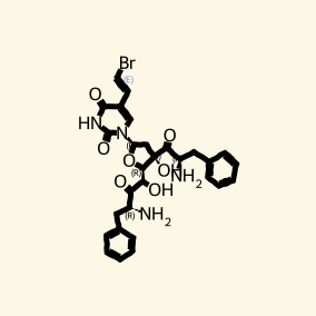 N[C@H](Cc1ccccc1)C(=O)C(O)[C@H]1O[C@@H](n2cc(/C=C/Br)c(=O)[nH]c2=O)C[C@@]1(O)C(=O)[C@H](N)Cc1ccccc1